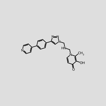 Cc1c(O)c(=O)ccn1CNCn1cc(-c2ccc(-c3ccncc3)cc2)nn1